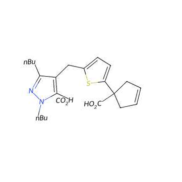 CCCCc1nn(CCCC)c(C(=O)O)c1Cc1ccc(C2(C(=O)O)CC=CC2)s1